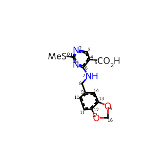 CSc1ncc(C(=O)O)c(NCc2ccc3c(c2)OCO3)n1